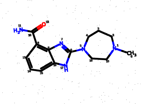 CN1CCCN(c2nc3c(C(N)=O)cccc3[nH]2)CC1